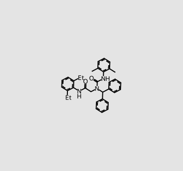 CCc1cccc(CC)c1NC(=O)CN(C(=O)Nc1c(C)cccc1C)C(c1ccccc1)c1ccccc1